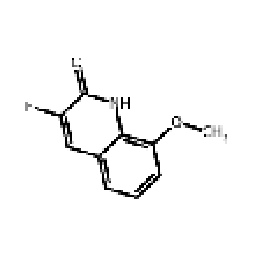 COc1cccc2cc(F)c(=O)[nH]c12